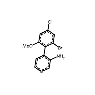 COc1cc(Cl)cc(Br)c1-c1ccncc1N